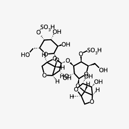 O=S(=O)(O)O[C@@H]1[C@H](O)[C@@H](O)[C@H](O[C@@H]2[C@@H]3OC[C@H]2O[C@H](O[C@@H]2[C@@H](O)[C@H](O[C@@H]4[C@@H]5OC[C@H]4O[C@H](O)[C@@H]5O)O[C@H](CO)[C@@H]2OS(=O)(=O)O)[C@@H]3O)O[C@@H]1CO